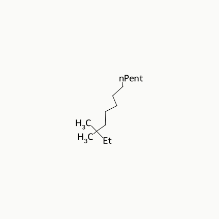 [CH2]CCCCCCCCCC(C)(C)CC